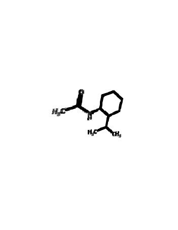 CC(=O)N[C@H]1CCCCC1C(C)C